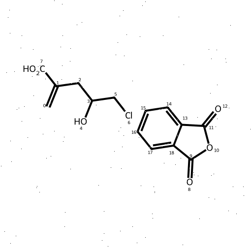 C=C(CC(O)CCl)C(=O)O.O=C1OC(=O)c2ccccc21